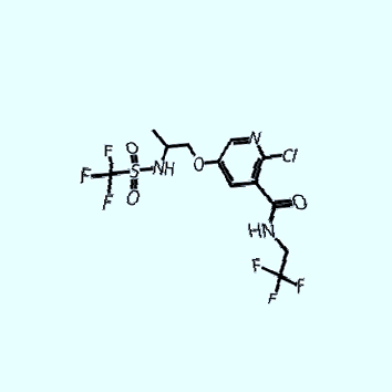 CC(COc1cnc(Cl)c(C(=O)NCC(F)(F)F)c1)NS(=O)(=O)C(F)(F)F